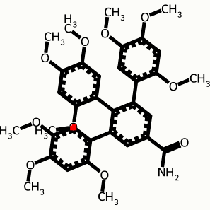 COc1cc(OC)c(-c2cc(C(N)=O)cc(-c3cc(OC)c(OC)cc3OC)c2-c2cc(OC)c(OC)cc2OC)cc1OC